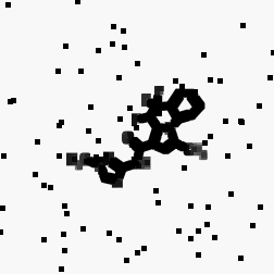 Cc1cc(C(=O)Nc2ncn(C)n2)c2n1-c1ccccc1C(F)(F)C2F